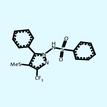 CSc1c(C(F)(F)F)nn(NS(=O)(=O)c2ccccc2)c1-c1ccccc1